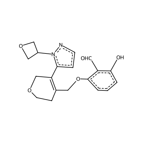 O=Cc1c(O)cccc1OCC1=C(c2ccnn2C2COC2)COCC1